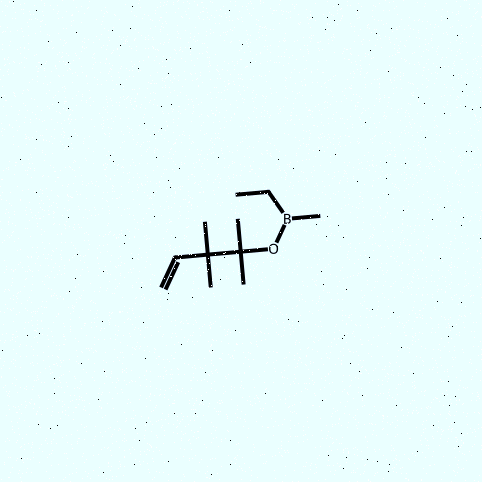 C=CC(C)(C)C(C)(C)OB(C)CC